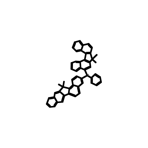 CC1(C)c2ccc3ccccc3c2-c2c1cc(N(c1ccccc1)c1ccc3c4c(ccc3c1)-c1cc3ccccc3cc1C4(C)C)c1ccccc21